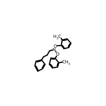 Cc1ccccc1ON(CCCc1ccccc1)Oc1ccccc1C